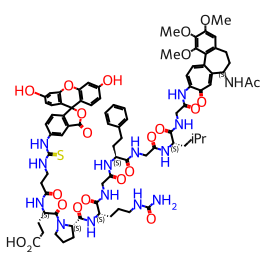 COc1cc2c(c(OC)c1OC)-c1ccc(NC(=O)CNC(=O)[C@H](CC(C)C)NC(=O)CNC(=O)[C@H](CCc3ccccc3)NC(=O)CNC(=O)[C@H](CCCNC(N)=O)NC(=O)[C@@H]3CCCN3C(=O)[C@H](CCC(=O)O)NC(=O)CCNC(=S)Nc3ccc4c(c3)C(=O)OC43c4ccc(O)cc4Oc4cc(O)ccc43)c(=O)cc1[C@@H](NC(C)=O)CC2